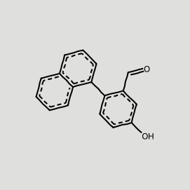 O=Cc1cc(O)ccc1-c1cccc2ccccc12